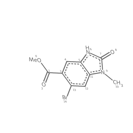 COC(=O)c1cc2[nH]c(=O)n(C)c2cc1Br